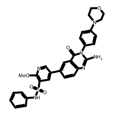 COc1ncc(-c2ccc3nc(N)n(-c4ccc(N5CCOCC5)cc4)c(=O)c3c2)cc1S(=O)(=O)Nc1ccccc1